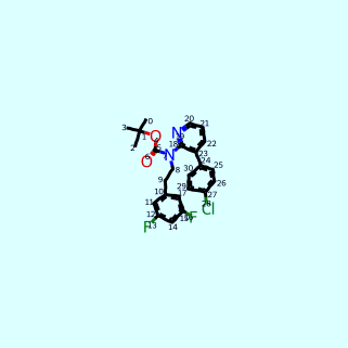 CC(C)(C)OC(=O)N(CCc1cc(F)cc(F)c1)c1ncccc1-c1ccc(Cl)cc1